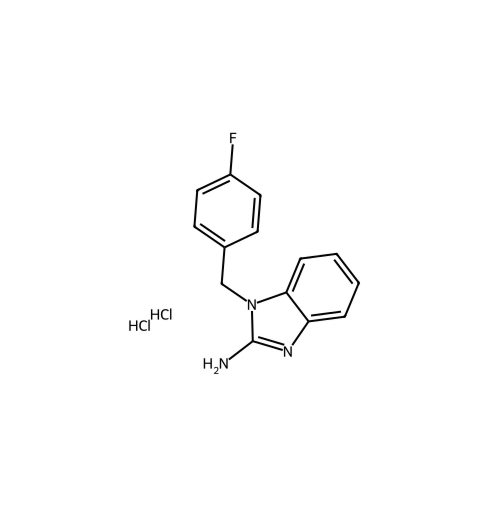 Cl.Cl.Nc1nc2ccccc2n1Cc1ccc(F)cc1